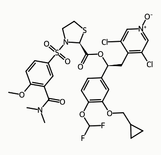 COc1ccc(S(=O)(=O)N2CCS[C@H]2C(=O)O[C@@H](Cc2c(Cl)c[n+]([O-])cc2Cl)c2ccc(OC(F)F)c(OCC3CC3)c2)cc1C(=O)N(C)C